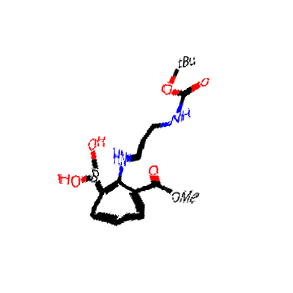 COC(=O)c1cccc(B(O)O)c1NCCNC(=O)OC(C)(C)C